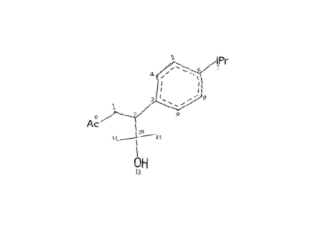 CC(=O)CC(c1ccc(C(C)C)cc1)C(C)(C)O